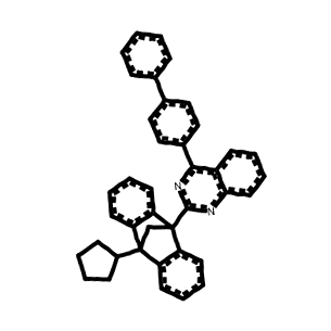 c1ccc(-c2ccc(-c3nc(C45CC(C6CCCC6)(c6ccccc64)c4ccccc45)nc4ccccc34)cc2)cc1